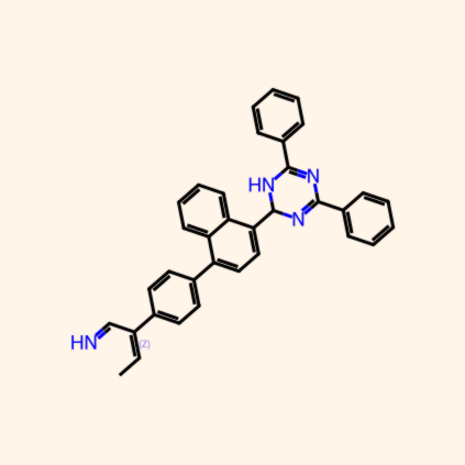 C/C=C(\C=N)c1ccc(-c2ccc(C3N=C(c4ccccc4)N=C(c4ccccc4)N3)c3ccccc23)cc1